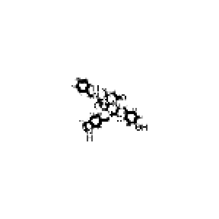 CN1CC(=O)N2[C@@H](Cc3ccc(O)cc3)C(=O)N(Cc3ccc4cn[nH]c4c3)C[C@@H]2N1C(=O)NCc1ccccc1